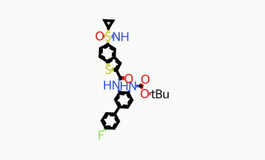 CC(C)(C)OC(=O)Nc1ccc(-c2ccc(F)cc2)cc1NC(=O)c1cc2cc(S(=N)(=O)C3CC3)ccc2s1